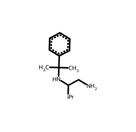 CC(C)C(CN)NC(C)(C)c1ccccc1